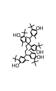 Cc1cc(O)c(C(C)(C)C)cc1C(C)CC(CCCC(c1cc(C(C)(C)C)c(O)cc1C)c1cc(C(C)(C)C)c(O)cc1C)(c1cc(C(C)(C)C)c(O)cc1C)c1cc(C(C)(C)C)c(O)cc1C